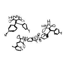 Cc1ccsc1/C=C1/C(=O)NN(c2ccc(I)cc2)C1=O.N#Cc1ccc(C(=C2C(=O)NNC2=O)c2ccc(I)cc2)cc1.O=C1NNC(=O)C1=C(c1ccc(I)cc1)c1ccc(S(=O)(=O)O)o1